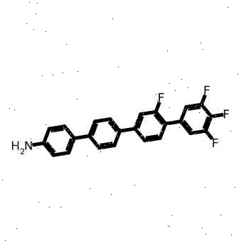 Nc1ccc(-c2ccc(-c3ccc(-c4cc(F)c(F)c(F)c4)c(F)c3)cc2)cc1